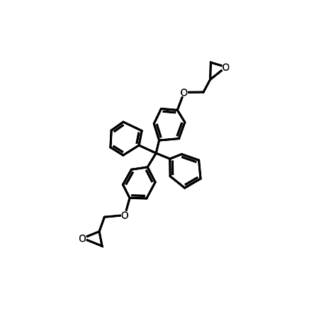 c1ccc(C(c2ccccc2)(c2ccc(OCC3CO3)cc2)c2ccc(OCC3CO3)cc2)cc1